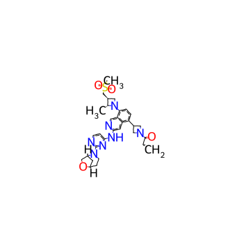 C=CC(=O)N1CC(c2ccc(N3C[C@H](CS(C)(=O)=O)[C@H]3C)c3cnc(Nc4ccnc(N5CC[C@H]6C[C@@H]5CO6)n4)cc23)C1